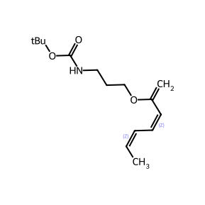 C=C(/C=C\C=C/C)OCCCNC(=O)OC(C)(C)C